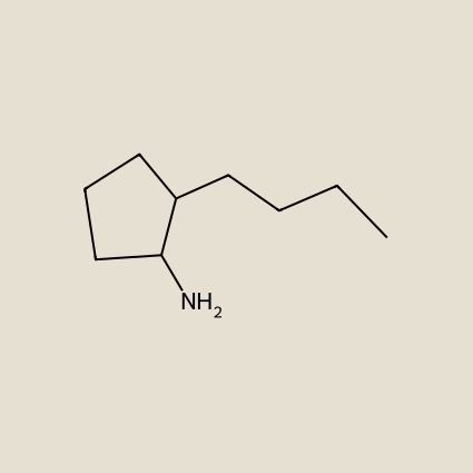 CCCCC1CCCC1N